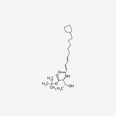 C[C@@H](O)[C@H](NC(=O)/C=C/C=C/CCCCCC1CCCC1)C(=O)OC(C)(C)C